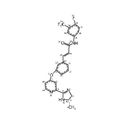 C[C@H]1CN=C(c2cc(Oc3cccc(C=CC(=O)Nc4ccc(F)c(C(F)(F)F)c4)c3)ccn2)N1